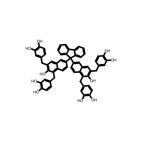 Oc1ccc(Cc2cc3cc(C4(c5ccc6c(Cc7ccc(O)c(O)c7)c(O)c(Cc7ccc(O)c(O)c7)cc6c5)c5ccccc5-c5ccccc54)ccc3c(Cc3ccc(O)c(O)c3)c2O)cc1O